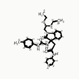 CCOC(CN1C(=O)C(CC(=O)Nc2ccncc2)(NC(=O)Nc2ccc(C)cc2)c2ccccc21)OCC